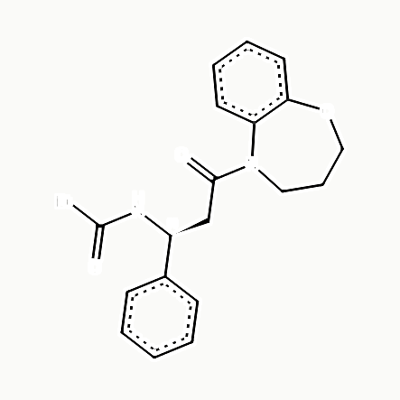 CCC(=O)N[C@@H](CC(=O)N1CCCOc2ccccc21)c1ccccc1